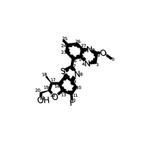 COc1cnc2c(-c3nc4cc(F)c5c(c4s3)[C@H](C)[C@H](CO)O5)cc(C)cc2n1